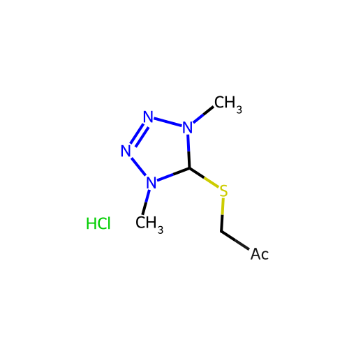 CC(=O)CSC1N(C)N=NN1C.Cl